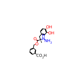 C[C@@](Cc1ccc(O)c(O)c1)(NN)C(=O)OCc1cccc(C(=O)O)c1